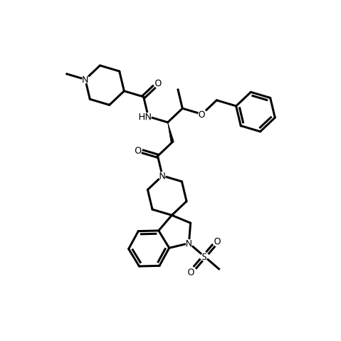 CC(OCc1ccccc1)[C@@H](CC(=O)N1CCC2(CC1)CN(S(C)(=O)=O)c1ccccc12)NC(=O)C1CCN(C)CC1